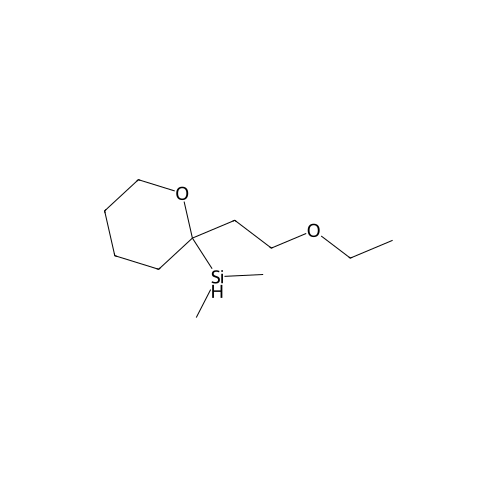 CCOCCC1([SiH](C)C)CCCCO1